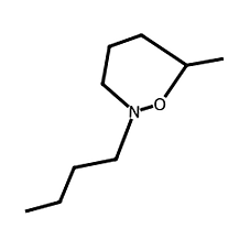 CCCCN1CCCC(C)O1